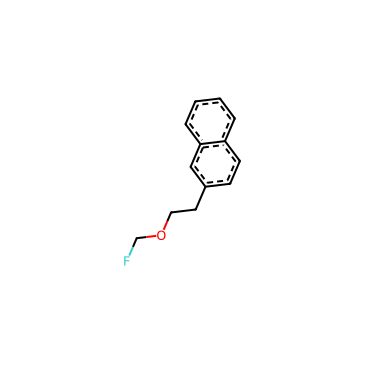 FCOCCc1ccc2ccccc2c1